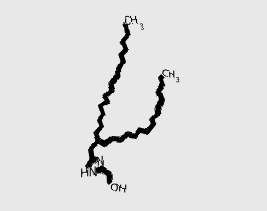 CCCCCCCCC=CCCCCCCCCC(CCCCCC/C=C\CCCCCCCC)CC1CNC(CCO)=N1